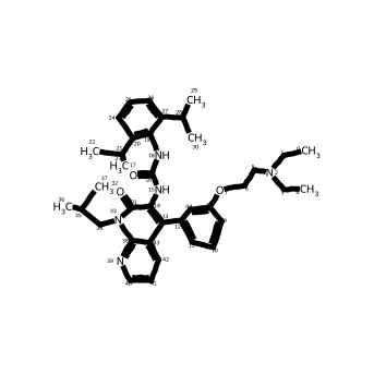 CCN(CC)CCOc1cccc(-c2c(NC(=O)Nc3c(C(C)C)cccc3C(C)C)c(=O)n(CC(C)C)c3ncccc23)c1